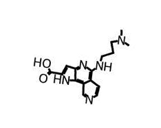 CN(C)CCCNc1nc2cc(C(=O)O)[nH]c2c2cnccc12